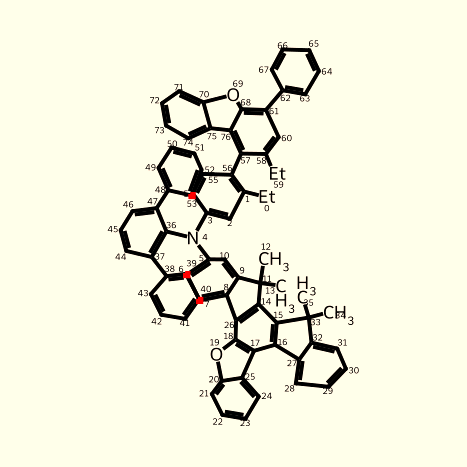 CCc1cc(N(c2ccc3c(c2)C(C)(C)c2c4c(c5c(oc6ccccc65)c2-3)-c2ccccc2C4(C)C)c2c(-c3ccccc3)cccc2-c2ccccc2)ccc1-c1c(CC)cc(-c2ccccc2)c2oc3ccccc3c12